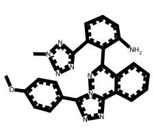 COc1ccc(-c2nnc3c4ccccc4c(-c4c(N)cccc4-c4nnn(C)n4)nn23)cc1